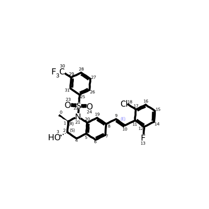 C[C@@H]1[C@@H](O)Cc2ccc(/C=C/c3c(F)cccc3Cl)cc2N1S(=O)(=O)c1cccc(C(F)(F)F)c1